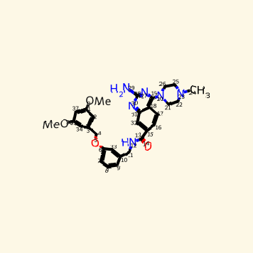 COc1cc(COc2cccc(CNC(=O)c3ccc4c(N5CCN(C)CC5)nc(N)nc4c3)c2)cc(OC)c1